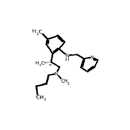 CCCCN(C)C[C@H](C)c1cc(C)ccc1NCc1ccccn1